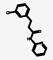 O=C(CCc1cccc(Cl)c1)Nc1ccccn1